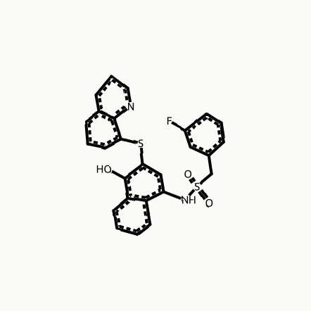 O=S(=O)(Cc1cccc(F)c1)Nc1cc(Sc2cccc3cccnc23)c(O)c2ccccc12